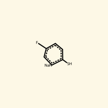 Fc1ccc(S)cc1.[NaH]